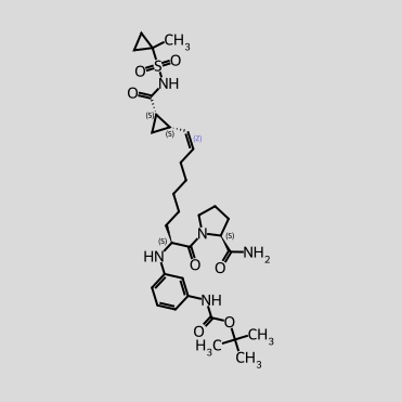 CC(C)(C)OC(=O)Nc1cccc(N[C@@H](CCCCC/C=C\[C@@H]2C[C@@H]2C(=O)NS(=O)(=O)C2(C)CC2)C(=O)N2CCC[C@H]2C(N)=O)c1